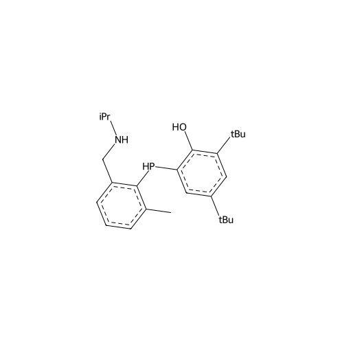 Cc1cccc(CNC(C)C)c1Pc1cc(C(C)(C)C)cc(C(C)(C)C)c1O